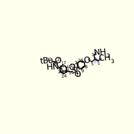 C/C=C(\CN)COc1ccc(S(=O)(=O)CC23CCC(NC(=O)C(C)(C)C)(CC2)CC3)cc1